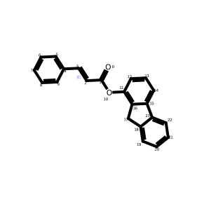 O=C(/C=C/c1ccccc1)Oc1cccc2c1Cc1ccccc1-2